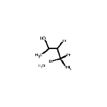 CCC(C(C)O)C(N)(CC)CC.O